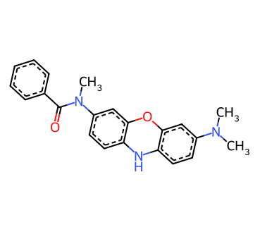 CN(C)c1ccc2c(c1)Oc1cc(N(C)C(=O)c3ccccc3)ccc1N2